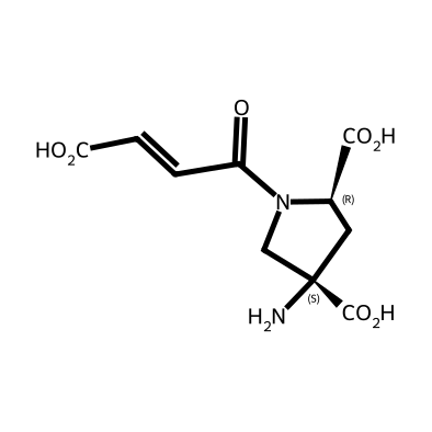 N[C@@]1(C(=O)O)C[C@H](C(=O)O)N(C(=O)C=CC(=O)O)C1